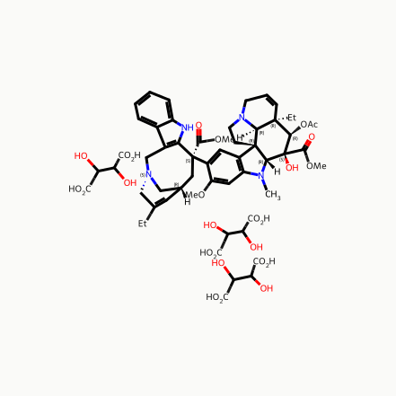 CCC1=C[C@@H]2C[N@](C1)Cc1c([nH]c3ccccc13)[C@@](C(=O)OC)(c1cc3c(cc1OC)N(C)[C@H]1[C@@](O)(C(=O)OC)[C@H](OC(C)=O)[C@]4(CC)C=CCN5CC[C@]31[C@@H]54)C2.O=C(O)C(O)C(O)C(=O)O.O=C(O)C(O)C(O)C(=O)O.O=C(O)C(O)C(O)C(=O)O